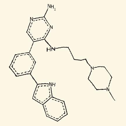 CN1CCN(CCCNc2nc(N)ncc2-c2cccc(-c3cc4ccccc4[nH]3)c2)CC1